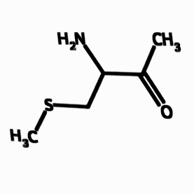 CSCC(N)C(C)=O